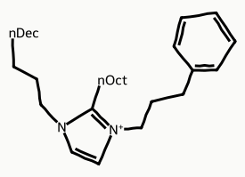 CCCCCCCCCCCCCn1cc[n+](CCCc2ccccc2)c1CCCCCCCC